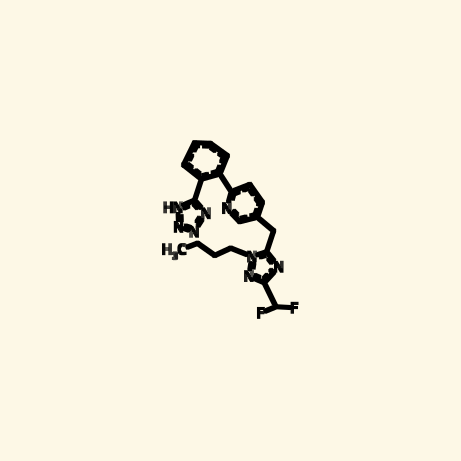 CCCCn1nc(C(F)F)nc1Cc1ccc(-c2ccccc2-c2nnn[nH]2)nc1